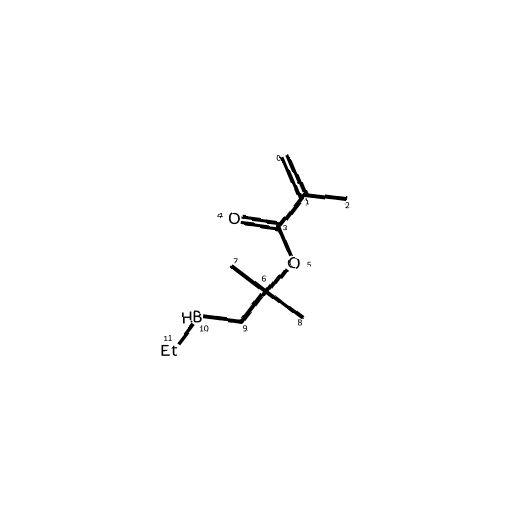 C=C(C)C(=O)OC(C)(C)CBCC